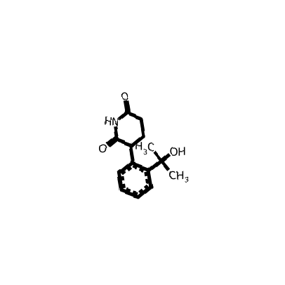 CC(C)(O)c1ccccc1C1CCC(=O)NC1=O